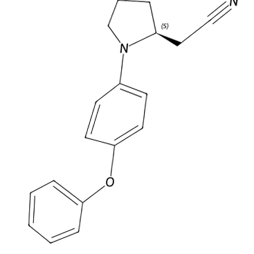 N#CC[C@@H]1CCCN1c1ccc(Oc2ccccc2)cc1